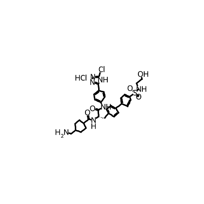 Cl.NCC1CCC(C(=O)N[C@@H](Cc2ccc(-c3ccc(S(=O)(=O)NCCO)cc3)cc2)C(=O)Nc2ccc(-c3nnc(Cl)[nH]3)cc2)CC1